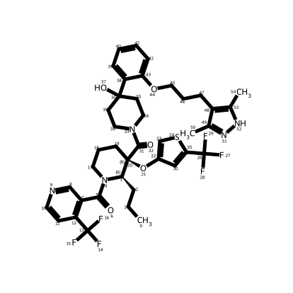 CCC[C@H]1N(C(=O)c2cnccc2C(F)(F)F)CCC[C@]1(Oc1csc(C(F)(F)F)c1)C(=O)N1CCC(O)(c2ccccc2OCCCc2c(C)n[nH]c2C)CC1